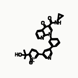 CC(C)(O)c1ccc(-c2cncc(-c3cccc(-n4cc(C(=O)NC5CC5)c(=O)c5cccnc54)c3)c2)c[n+]1[O-]